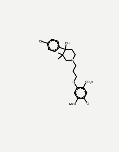 COc1cc(OCCCN2CCC(O)(c3ccc(Cl)cc3)C(C)(C)C2)c(C(=O)O)cc1Cl